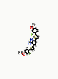 CCOC1=CC(F)=C(c2ccc(-c3ccc(-c4ccc(-c5ccc(OCC)cc5F)s4)c4nsnc34)s2)CC=C1